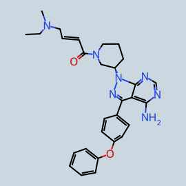 CCN(C)CC=CC(=O)N1CCC[C@@H](n2nc(-c3ccc(Oc4ccccc4)cc3)c3c(N)ncnc32)C1